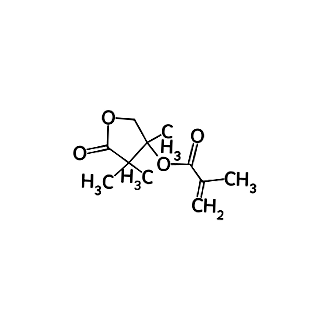 C=C(C)C(=O)OC1(C)COC(=O)C1(C)C